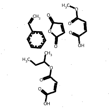 C=Cc1ccccc1.CCC(C)OC(=O)/C=C\C(=O)O.COC(=O)/C=C\C(=O)O.O=C1C=CC(=O)O1